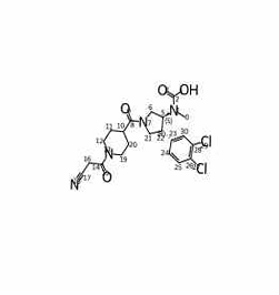 CN(C(=O)O)[C@@H]1CN(C(=O)C2CCN(C(=O)CC#N)CC2)C[C@H]1c1ccc(Cl)c(Cl)c1